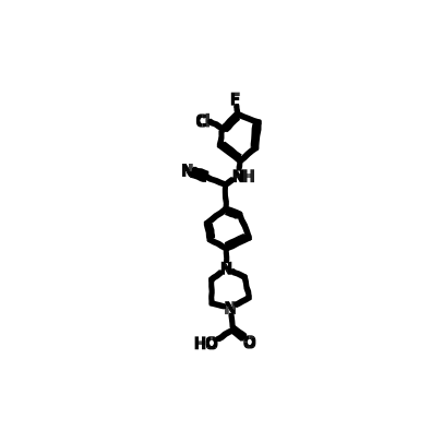 N#CC(Nc1ccc(F)c(Cl)c1)c1ccc(N2CCN(C(=O)O)CC2)cc1